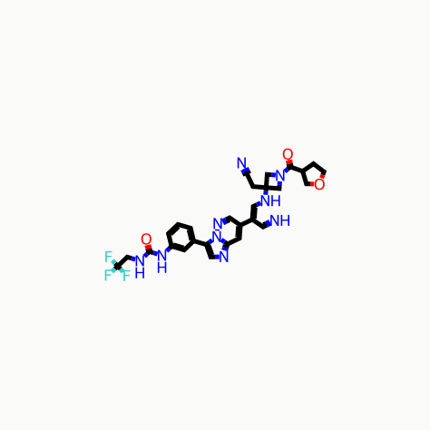 N#CCC1(N/C=C(\C=N)c2cnn3c(-c4cccc(NC(=O)NCC(F)(F)F)c4)cnc3c2)CN(C(=O)C2CCOC2)C1